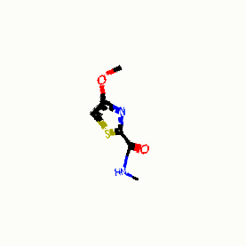 CNC(=O)c1nc(OC)cs1